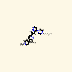 CCOC(=O)N1CCN(c2ccnn3cc(-c4ccc(C5(OC)CCN(C(C)C)CC5)cn4)cc23)CC1